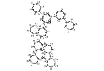 c1ccc(-c2cccc(-c3nc(-c4ccccc4)nc(-c4ccc(-c5ccc(-c6ccccc6-n6c7ccccc7c7ccccc76)cc5)c5ccccc45)n3)c2)cc1